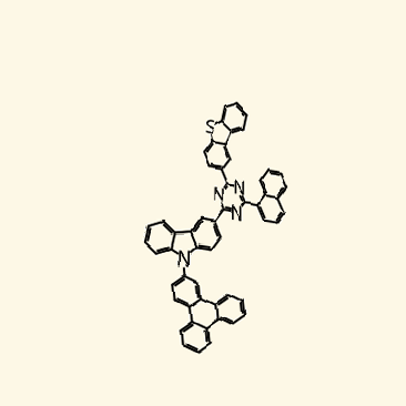 c1ccc2c(-c3nc(-c4ccc5sc6ccccc6c5c4)nc(-c4ccc5c(c4)c4ccccc4n5-c4ccc5c6ccccc6c6ccccc6c5c4)n3)cccc2c1